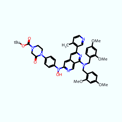 COc1ccc(CN(Cc2ccc(OC)cc2OC)c2nc(-c3cnccc3C)cc3cc(N(O)c4ccc(N5CCN(C(=O)OC(C)(C)C)CC5=O)cc4)ncc23)c(OC)c1